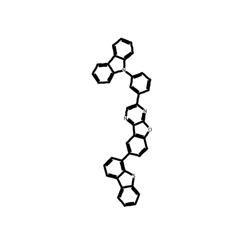 c1cc(-c2cnc3c(n2)oc2ccc(-c4cccc5c4sc4ccccc45)cc23)cc(-n2c3ccccc3c3ccccc32)c1